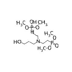 COP(=O)(CCN(CCCO)CC[PH](O)(OC)OC)OC